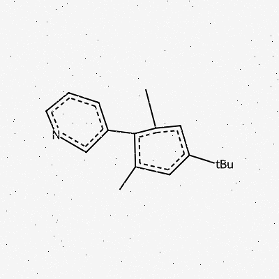 Cc1cc(C(C)(C)C)cc(C)c1-c1cccnc1